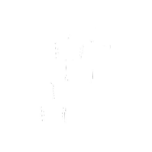 COc1c(N=Nc2ccccn2)cccc1C(=O)O